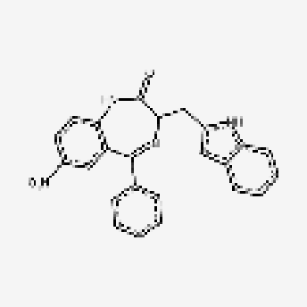 O=C1Nc2ccc([N+](=O)[O-])cc2C(c2ccccc2)=NC1Cc1cc2ccccc2[nH]1